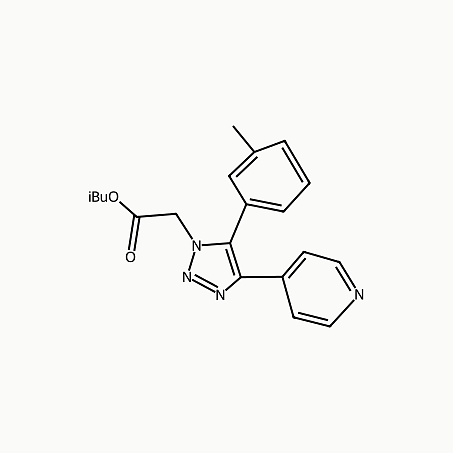 Cc1cccc(-c2c(-c3ccncc3)nnn2CC(=O)OCC(C)C)c1